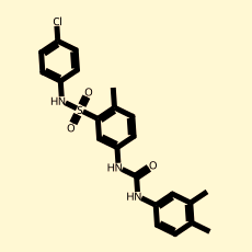 Cc1ccc(NC(=O)Nc2ccc(C)c(S(=O)(=O)Nc3ccc(Cl)cc3)c2)cc1C